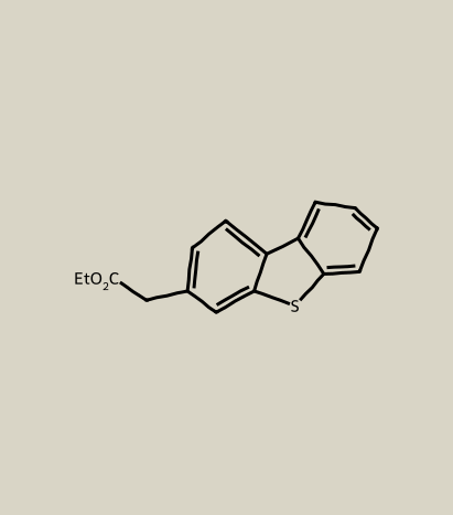 CCOC(=O)Cc1ccc2c(c1)sc1ccccc12